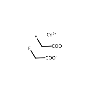 O=C([O-])CF.O=C([O-])CF.[Cd+2]